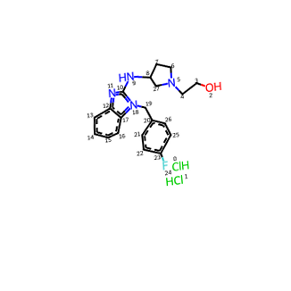 Cl.Cl.OCCN1CCC(Nc2nc3ccccc3n2Cc2ccc(F)cc2)C1